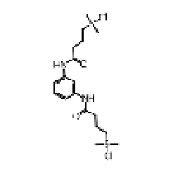 CS(C)(Cl)CCCC(=O)Nc1cccc(NC(=O)CCCS(C)(C)Cl)c1